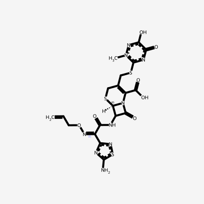 C=CCO/N=C(\C(=O)NC1C(=O)N2C(C(=O)O)=C(CSc3nc(=O)c(O)nn3C)CS[C@H]12)c1nsc(N)n1